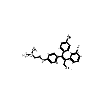 CC/C(=C(/c1ccc(O)cc1)c1ccc(OCCN(C)C)cc1)c1cccc(Cl)c1